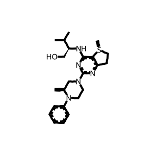 C=C1CN(c2nc3c(c(N[C@@H](CO)C(C)C)n2)S(=C)CC3)CCN1c1ccccc1